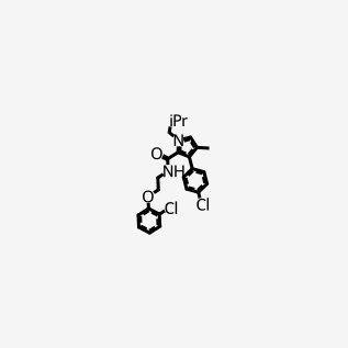 Cc1cn(CC(C)C)c(C(=O)NCCOc2ccccc2Cl)c1-c1ccc(Cl)cc1